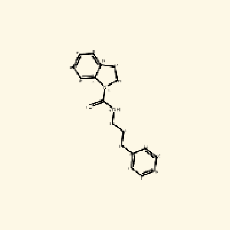 O=C(NCCCc1ccccc1)N1CCc2ccccc21